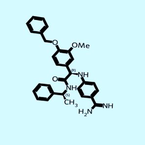 COc1cc([C@@H](Nc2ccc(C(=N)N)cc2)C(=O)N[C@@H](C)c2ccccc2)ccc1OCc1ccccc1